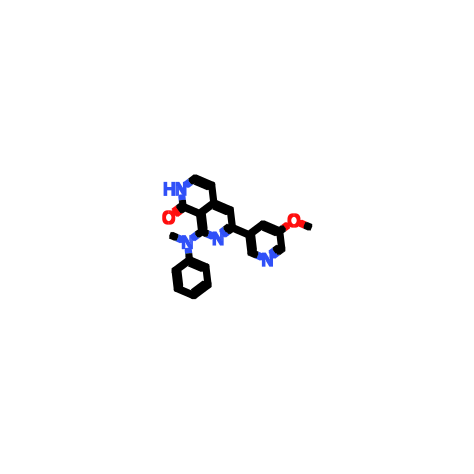 COc1cncc(-c2cc3cc[nH]c(=O)c3c(N(C)c3ccccc3)n2)c1